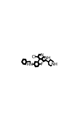 Fc1ccc(NCc2ccccc2)cc1-c1c(Cl)cnc2[nH]c(C3CCNCC3)cc12